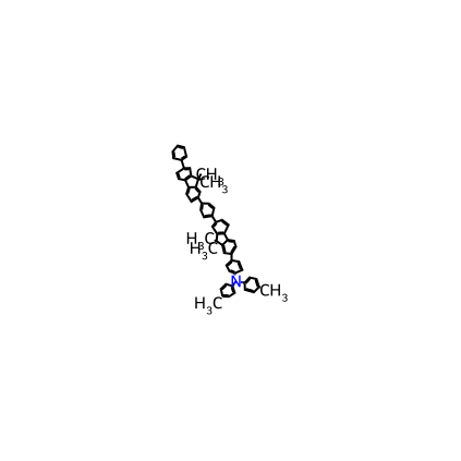 Cc1ccc(N(c2ccc(C)cc2)c2ccc(-c3ccc4c(c3)C(C)(C)c3cc(-c5ccc(-c6ccc7c(c6)C(C)(C)c6cc(-c8ccccc8)ccc6-7)cc5)ccc3-4)cc2)cc1